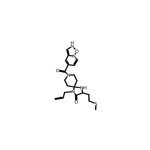 C=CCN1C(=O)C(CCSC)NC12CCN(C(=O)C1=CC3=CNON3C=C1)CC2